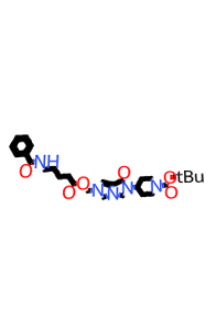 CC(C)(C)OC(=O)N1CCC(N2CN3CN(COC(=O)CCCCNC(=O)c4ccccc4)C=C3C2=O)CC1